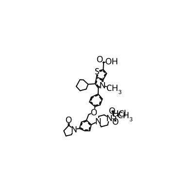 Cl.Cn1c(-c2ccc(OCc3cc(N4CCCC4=O)ccc3N3CCN(S(C)(=O)=O)CC3)cc2)c(C2CCCCC2)c2sc(C(=O)O)cc21